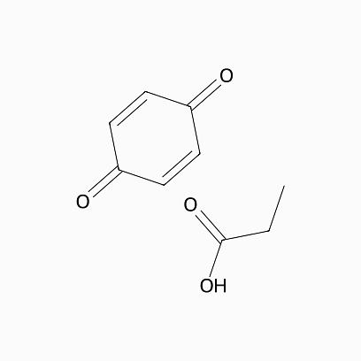 CCC(=O)O.O=C1C=CC(=O)C=C1